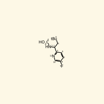 CC(C)(C)CC(NC(=O)O)c1ccc(F)cn1